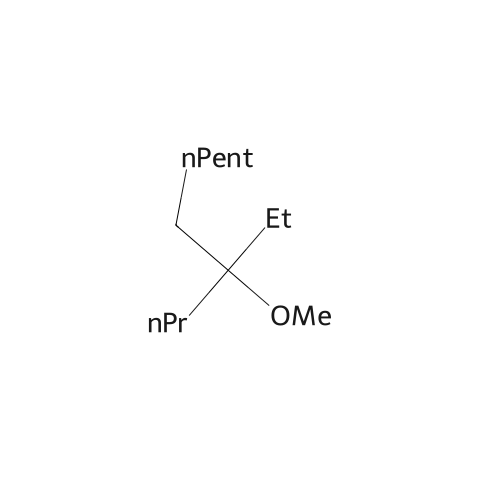 [CH2]CCC(CC)(CCCCCC)OC